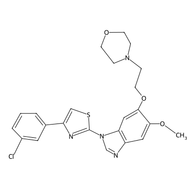 COc1cc2ncn(-c3nc(-c4cccc(Cl)c4)cs3)c2cc1OCCN1CCOCC1